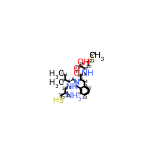 CC[C@H](C)[C@@H](CN1Cc2ccccc2CC1C(=O)N[C@@H](CCSC)C(=O)O)NC[C@@H](N)CS